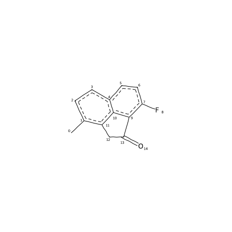 Cc1ccc2ccc(F)c3c2c1CC3=O